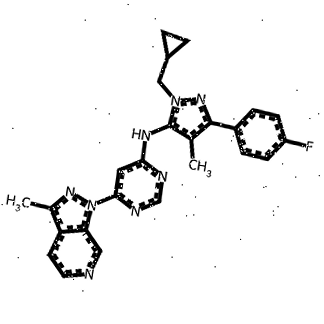 Cc1c(-c2ccc(F)cc2)nn(CC2CC2)c1Nc1cc(-n2nc(C)c3ccncc32)ncn1